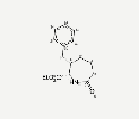 CCOC(=O)[C@H]1NC(=O)CCC[C@H]1Cc1ccccc1